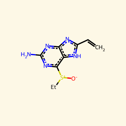 C=Cc1nc2nc(N)nc([S+]([O-])CC)c2[nH]1